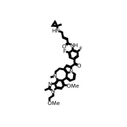 COCCn1c(C)nc2c3c(c(OC)cc21)-c1cccn2c(C(=O)c4cc(F)c(NC(=O)/C=C/CNC5(C)CC5)c(F)c4)cc(c12)CCN3C